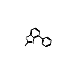 [CH2]c1nc2c(-c3ccccc3)cccc2s1